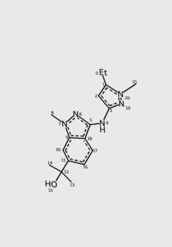 CCc1cc(Nc2nn(C)c3cc(C(C)(C)O)ccc23)nn1C